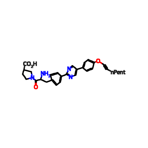 CCCCCC#COc1ccc(-c2cnc(-c3ccc(CC(N)C(=O)N4CCC(C(=O)O)C4)cc3)nc2)cc1